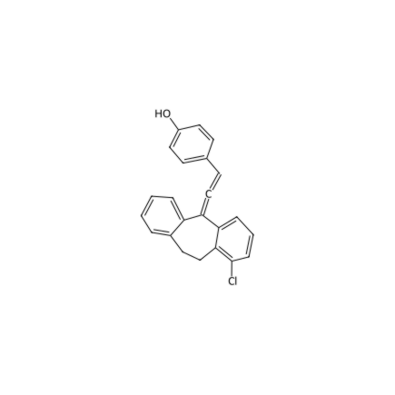 Oc1ccc(C=C=C2c3ccccc3CCc3c(Cl)cccc32)cc1